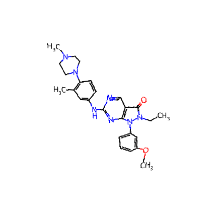 CCn1c(=O)c2cnc(Nc3ccc(N4CCN(C)CC4)c(C)c3)nc2n1-c1cccc(OC)c1